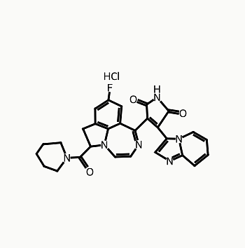 Cl.O=C1NC(=O)C(c2cnc3ccccn23)=C1C1=NC=CN2c3c(cc(F)cc31)CC2C(=O)N1CCCCC1